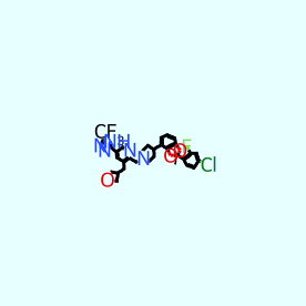 C[C@]1(c2ccc(Cl)cc2F)Oc2cccc(C3CCN(Cc4ncc(-c5nnc(C(F)(F)F)[nH]5)cc4CC4COC4)CC3)c2O1